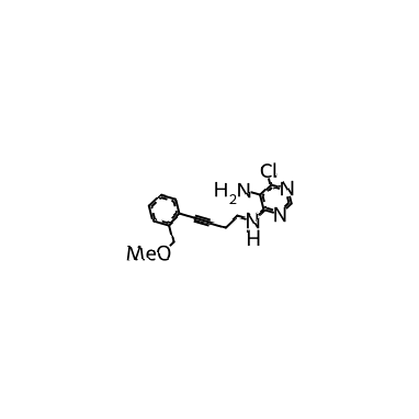 COCc1ccccc1C#CCCNc1ncnc(Cl)c1N